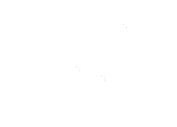 O=S(=O)(Nc1cncc(-c2ccc3nccc(-c4ccc(C(F)(F)F)cc4)c3c2)c1)c1ccc(F)cc1F